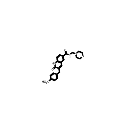 O=C(O)c1ccc(Cc2cc3cc(C(=O)NCN4CCOCC4)ccc3[nH]c2=O)cc1